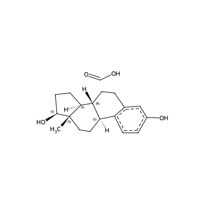 C[C@]12CC[C@@H]3c4ccc(O)cc4CC[C@H]3[C@@H]1CC[C@@H]2O.O=CO